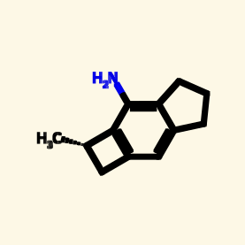 C[C@H]1Cc2cc3c(c(N)c21)CCC3